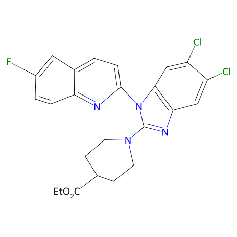 CCOC(=O)C1CCN(c2nc3cc(Cl)c(Cl)cc3n2-c2ccc3cc(F)ccc3n2)CC1